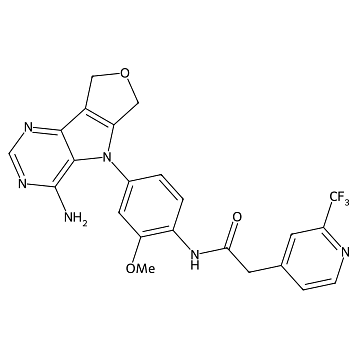 COc1cc(-n2c3c(c4ncnc(N)c42)COC3)ccc1NC(=O)Cc1ccnc(C(F)(F)F)c1